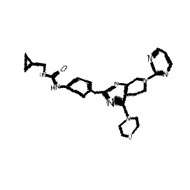 O=C(NCC1CC1)Nc1ccc(-c2nc3c(c(N4CCOCC4)n2)CCN(c2ncccn2)C3)cc1